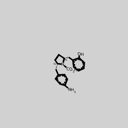 Nc1ccc(C[C@@H]2CC[C@H](Cc3ccccc3O)N2C(=O)O)cc1